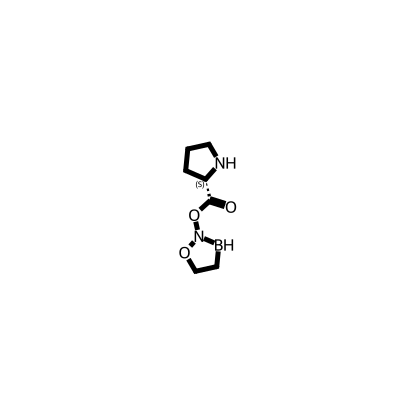 O=C(ON1BCCO1)[C@@H]1CCCN1